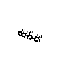 NC1CCCC12CCN(c1ncc(-c3ccnc(Cl)c3Cl)nc1CO)CC2